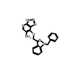 Nc1cnc2[nH]nnc2c1OCc1nn(Cc2ccccc2)c2ccccc12